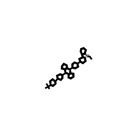 CCn1c2ccccc2c2cc(-c3ccc(-c4c5ccccc5c(-c5ccc(-c6ccc(C(C)(C)C)cc6)cc5)c5ccccc45)cc3)ccc21